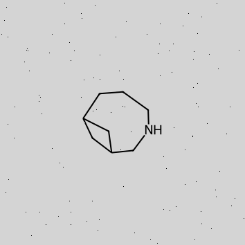 C1CNCC2CC(C1)C2